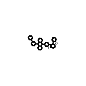 c1ccc(-c2cccc(-c3c4ccccc4c(-c4ccc5c(c4)oc4ccc6oc7ccccc7c6c45)c4ccccc34)c2)cc1